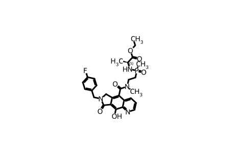 CCOC(=O)[C@H](C)NP(C)(=O)CCN(C)C(=O)c1c2c(c(O)c3ncccc13)C(=O)N(Cc1ccc(F)cc1)C2